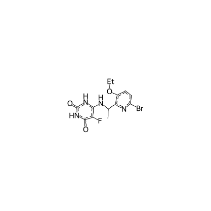 CCOc1ccc(Br)nc1C(C)Nc1[nH]c(=O)[nH]c(=O)c1F